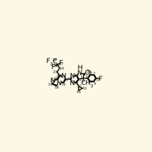 CC1(c2ccc(F)cc2)C(=O)Nc2nc(-c3cn4ccnc4c(CCC(F)(F)C(F)(F)F)n3)nc(C3CC3)c21